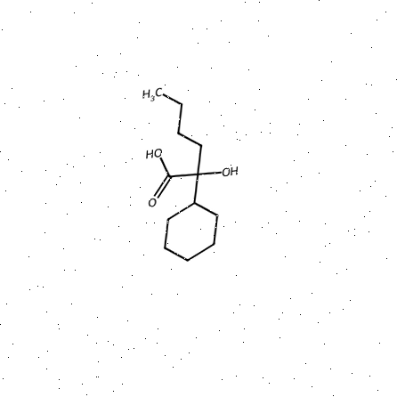 CCCCC(O)(C(=O)O)C1CCCCC1